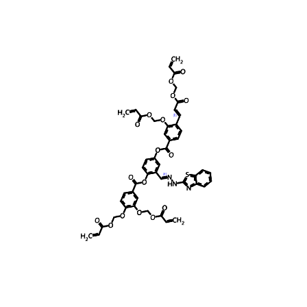 C=CC(=O)OCOC(=O)/C=C/c1ccc(C(=O)Oc2ccc(OC(=O)c3ccc(OCOC(=O)C=C)c(OCOC(=O)C=C)c3)c(/C=N/Nc3nc4ccccc4s3)c2)cc1OCOC(=O)C=C